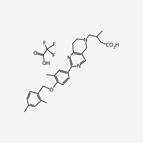 Cc1ccc(COc2ccc(-c3ncc4c(n3)CCN(CC(C)CC(=O)O)C4)cc2C)c(C)c1.O=C(O)C(F)(F)F